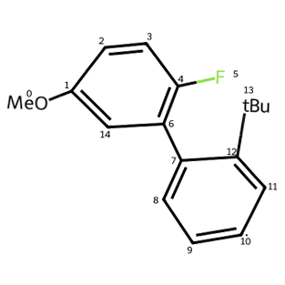 COc1ccc(F)c(-c2cc[c]cc2C(C)(C)C)c1